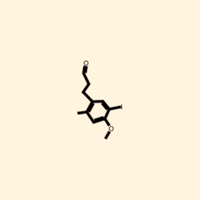 COc1cc(C)c(CCC=O)cc1I